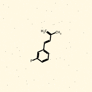 C=C(C)/C=C/c1cccc(F)c1